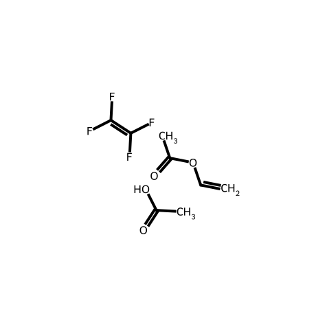 C=COC(C)=O.CC(=O)O.FC(F)=C(F)F